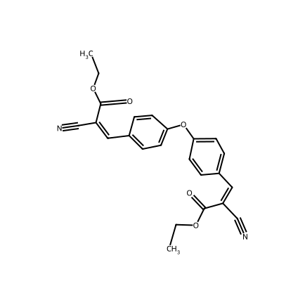 CCOC(=O)C(C#N)=Cc1ccc(Oc2ccc(C=C(C#N)C(=O)OCC)cc2)cc1